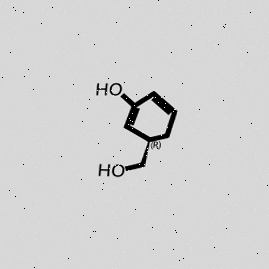 OC[C@H]1C=C(O)C=CC1